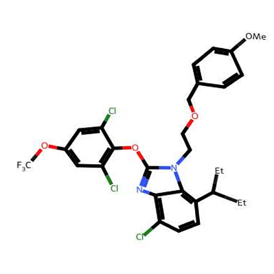 CCC(CC)c1ccc(Cl)c2nc(Oc3c(Cl)cc(OC(F)(F)F)cc3Cl)n(CCOCc3ccc(OC)cc3)c12